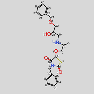 CC(COC1SC(=O)N(Cc2ccccc2)C1=O)NCC(O)COCc1ccccc1